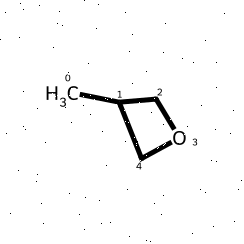 C[C]1COC1